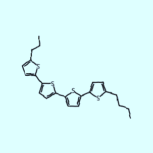 CCCCc1ccc(-c2ccc(-c3ccc(-c4ccc(CCC)s4)s3)s2)s1